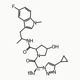 CC(Cc1cn(C)c2ccc(F)cc12)NC(=O)C1CC(O)CN1C(=O)[C@@H](n1cc(C2CC2)nn1)C(C)(C)C